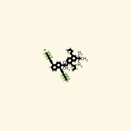 CC(C)(C)c1cc(-c2cccs2)c2ccc(CC(C)(C)c3ccc4c(C#CC(F)(F)C(F)(F)C(F)(F)F)cccc4c3C#CC(F)(F)C(F)(F)C(F)(F)F)c(-c3cccs3)c2c1